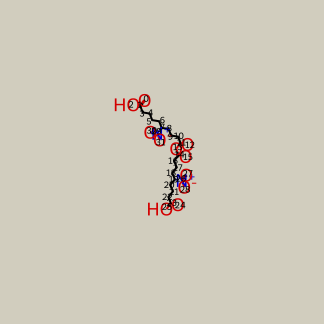 O=C(O)CCCCC(CCCC(=O)OC(=O)CCCC(CCCC(=O)O)[N+](=O)[O-])[N+](=O)[O-]